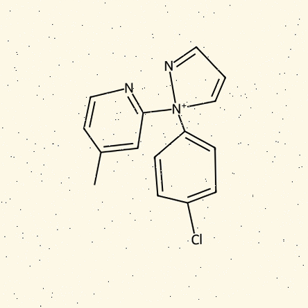 Cc1ccnc([N+]2(c3ccc(Cl)cc3)C=CC=N2)c1